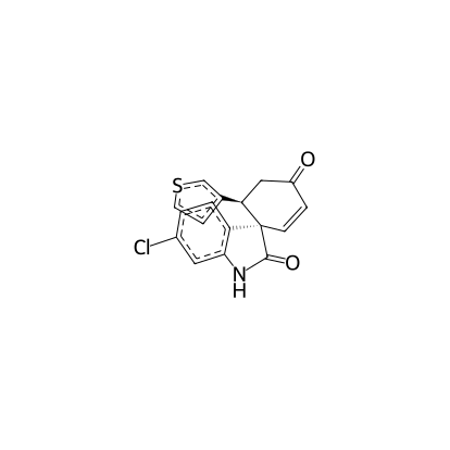 O=C1C=C[C@@]2(C(=O)Nc3cc(Cl)ccc32)[C@@H](c2ccsc2)C1